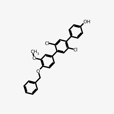 COc1cc(-c2cc(Cl)c(-c3ccc(O)cc3)cc2Cl)ccc1OCc1ccccc1